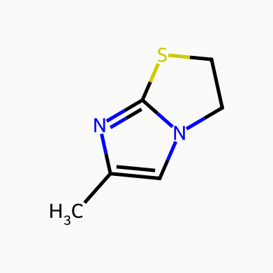 Cc1cn2c(n1)SCC2